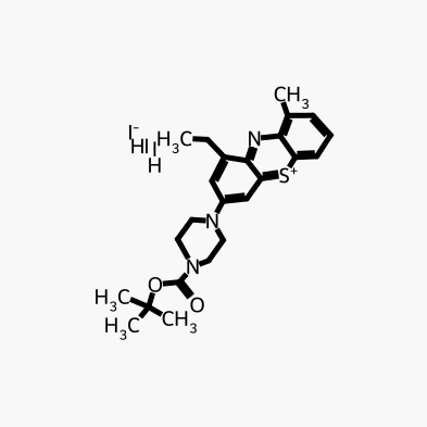 CCc1cc(N2CCN(C(=O)OC(C)(C)C)CC2)cc2[s+]c3cccc(C)c3nc12.I.I.[I-]